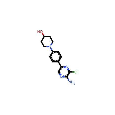 Nc1ncc(-c2ccc(N3CCC(O)CC3)cc2)nc1Cl